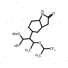 CCCC(OC)C(C1CCC2NC(=O)CC2C1)C(C)OC(C)C(F)(F)F